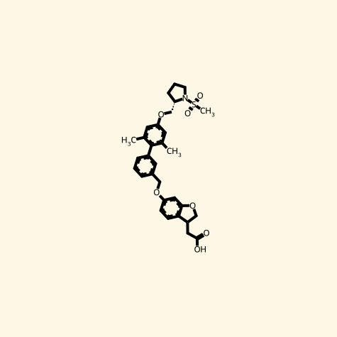 Cc1cc(OC[C@@H]2CCCN2S(C)(=O)=O)cc(C)c1-c1cccc(COc2ccc3c(c2)OCC3CC(=O)O)c1